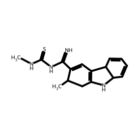 CNC(=S)NC(=N)C1=CC2=C(CC1C)NC1C=CC=CC21